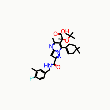 Cc1cc(CNC(=O)c2cc3nc(C)c([C@H](OC(C)(C)C)C(=O)O)c(C4=CCC(C)(C)CC4)n3n2)ccc1F